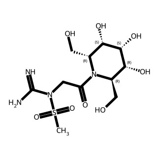 CS(=O)(=O)N(CC(=O)N1[C@H](CO)[C@H](O)[C@H](O)[C@H](O)[C@H]1CO)C(=N)N